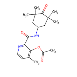 CC(=O)Oc1c(C)ccnc1C(=O)NC1CC(C)(C)C(=O)C(C)(C)C1